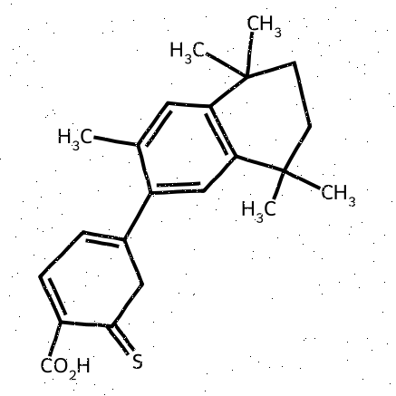 Cc1cc2c(cc1C1=CC=C(C(=O)O)C(=S)C1)C(C)(C)CCC2(C)C